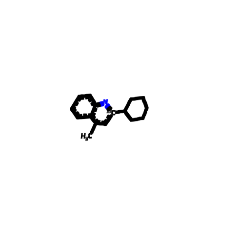 Cc1c[13c](C2CCCCC2)nc2ccccc12